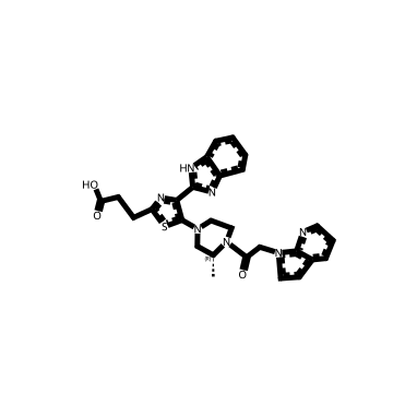 C[C@@H]1CN(c2sc(CCC(=O)O)nc2-c2nc3ccccc3[nH]2)CCN1C(=O)Cn1ccc2cccnc21